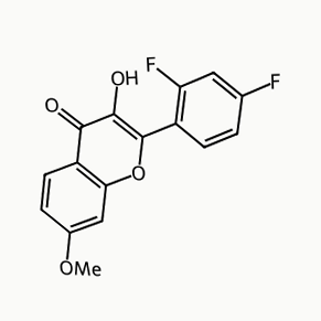 COc1ccc2c(=O)c(O)c(-c3ccc(F)cc3F)oc2c1